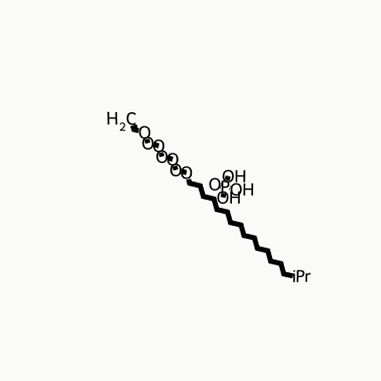 C=COOOOOOOCCCCCCCCCCCCCCCC(C)C.O=P(O)(O)O